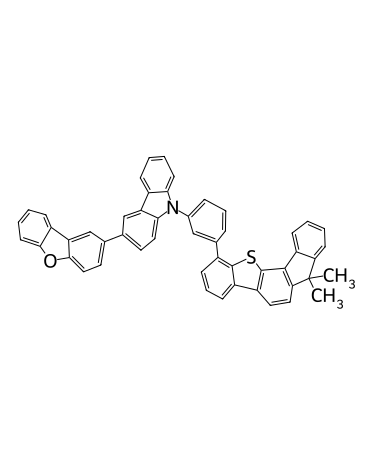 CC1(C)c2ccccc2-c2c1ccc1c2sc2c(-c3cccc(-n4c5ccccc5c5cc(-c6ccc7oc8ccccc8c7c6)ccc54)c3)cccc21